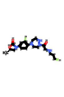 C[C@H]1CN(c2ccc(N3CCNN(C(=O)CNCCCF)CC3)c(F)c2)C(=O)O1